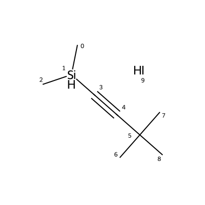 C[SiH](C)C#CC(C)(C)C.I